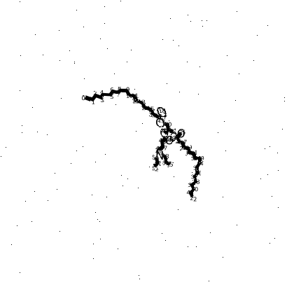 CCCCCCCC/C=C\CCCCCCCC(=O)OCC(COC(=O)CCCCCCC/C=C\CCCCCCCC)OC(=O)CCCN(CCC)CCC